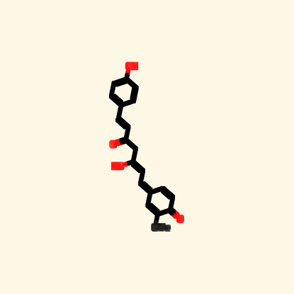 COC1=CC(=CC=C(O)CC(=O)C=Cc2ccc(O)cc2)C=CC1=O